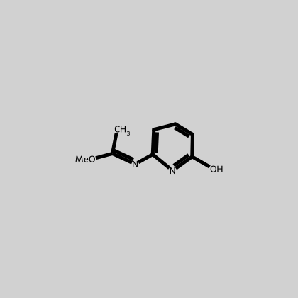 COC(C)=Nc1cccc(O)n1